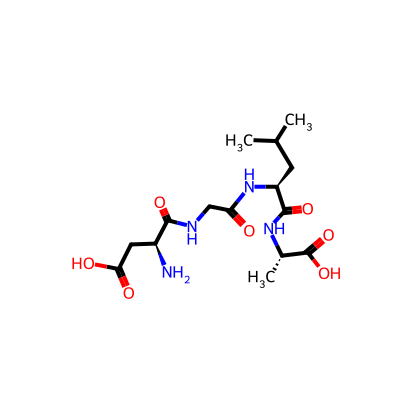 CC(C)C[C@H](NC(=O)CNC(=O)[C@@H](N)CC(=O)O)C(=O)N[C@@H](C)C(=O)O